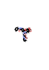 Cc1cccc2nc(Cn3c(=O)n(Cc4ccc5c(c4)OCO5)c(=O)c4ccc(C(=O)NC5CCCCC5)cc43)cc(=O)n12